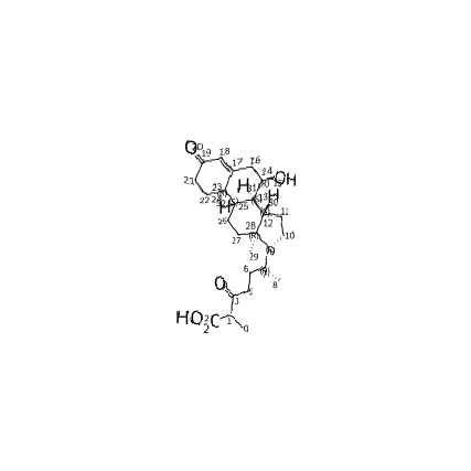 CC(C(=O)O)C(=O)CC[C@@H](C)[C@H]1CC[C@H]2[C@@H]3[C@H](O)CC4=CC(=O)CC[C@]4(C)[C@H]3CC[C@]12C